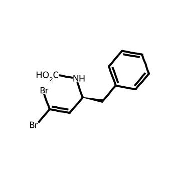 O=C(O)N[C@H](C=C(Br)Br)Cc1ccccc1